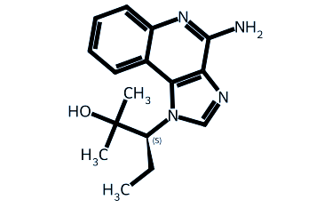 CC[C@H](n1cnc2c(N)nc3ccccc3c21)C(C)(C)O